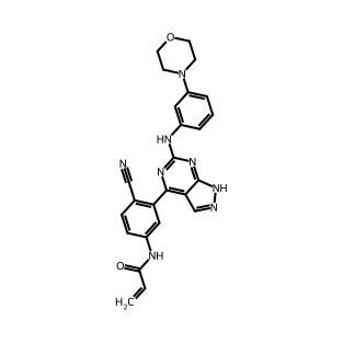 C=CC(=O)Nc1ccc(C#N)c(-c2nc(Nc3cccc(N4CCOCC4)c3)nc3[nH]ncc23)c1